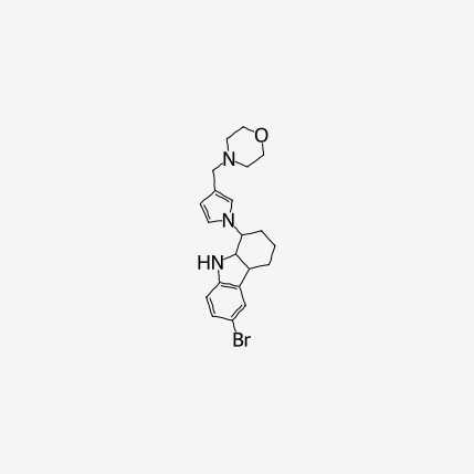 Brc1ccc2c(c1)C1CCCC(n3ccc(CN4CCOCC4)c3)C1N2